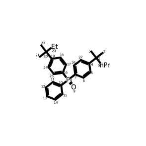 CCCC(C)(C)c1ccc(P(=O)(c2ccccc2)c2ccc(C(C)(C)CC)cc2)cc1